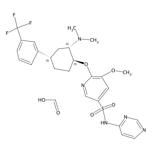 COc1cc(S(=O)(=O)Nc2ccncn2)cnc1O[C@H]1CC[C@H](c2cccc(C(F)(F)F)c2)C[C@@H]1N(C)C.O=CO